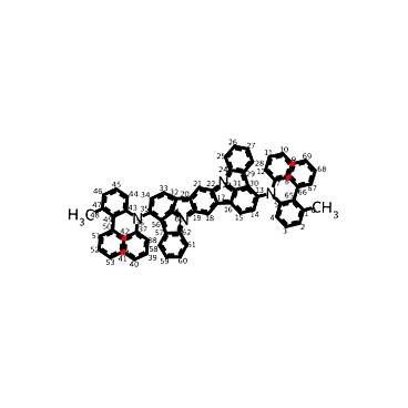 Cc1cccc(N(c2ccccc2)c2ccc3c4cc5c(cc4n4c6ccccc6c2c34)c2ccc(N(c3ccccc3)c3cccc(C)c3-c3ccccc3)c3c4ccccc4n5c23)c1-c1ccccc1